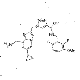 COc1ccc(F)c(CNC(O)c2cn(Cc3cn4cc(C5CC5)cc(CN)c4n3)nn2)c1F